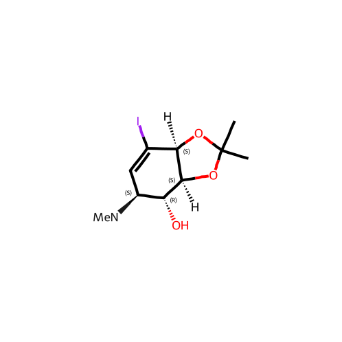 CN[C@H]1C=C(I)[C@H]2OC(C)(C)O[C@H]2[C@@H]1O